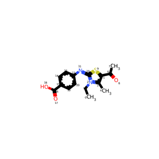 CCn1c(C)c(C(C)=O)s/c1=N/c1ccc(C(=O)O)cc1